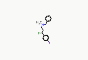 CN(CCC(F)c1ccc(I)cc1)Cc1ccccc1